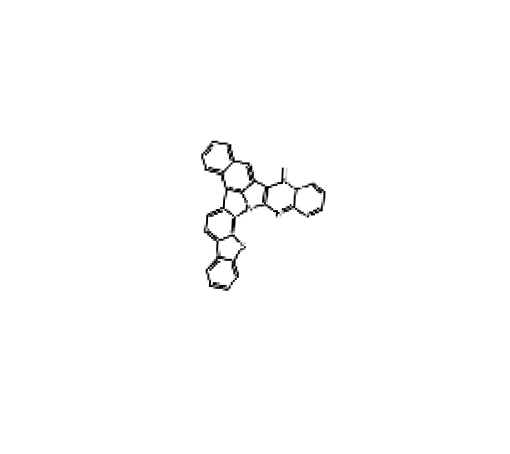 C1=CC2=Nc3c(c4cc5ccccc5c5c6ccc7c8ccccc8sc7c6n3c45)NC2C=C1